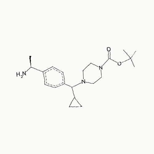 C[C@H](N)c1ccc(C(C2CC2)N2CCN(C(=O)OC(C)(C)C)CC2)cc1